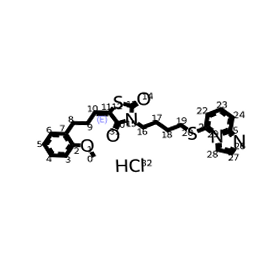 COc1ccccc1CC/C=C1/SC(=O)N(CCCCSc2cccc3nccn23)C1=O.Cl